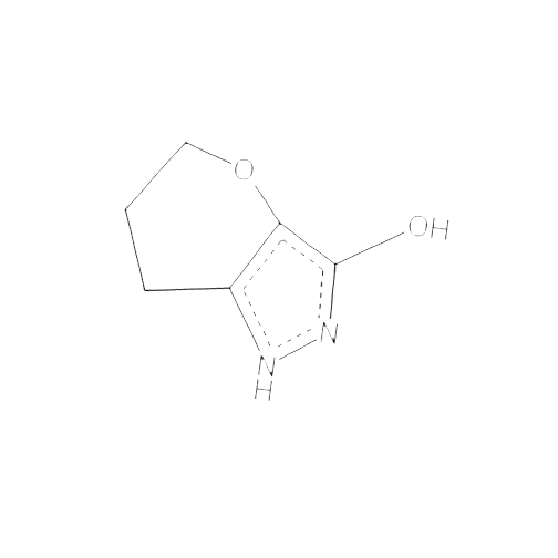 Oc1n[nH]c2c1OCCC2